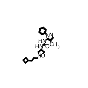 Cc1cnn(-c2ccccc2)c1NC(=O)N[C@H]1CON(CCCC2CCC2)C1